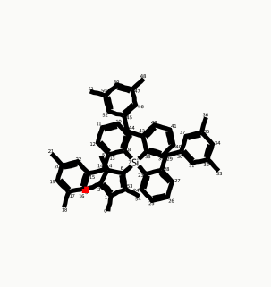 CC1=C(C)C(C)C([Si](c2ccccc2Cc2cc(C)cc(C)c2)(c2ccccc2Cc2cc(C)cc(C)c2)c2ccccc2Cc2cc(C)cc(C)c2)=C1C